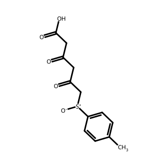 Cc1ccc([S+]([O-])CC(=O)CC(=O)CC(=O)O)cc1